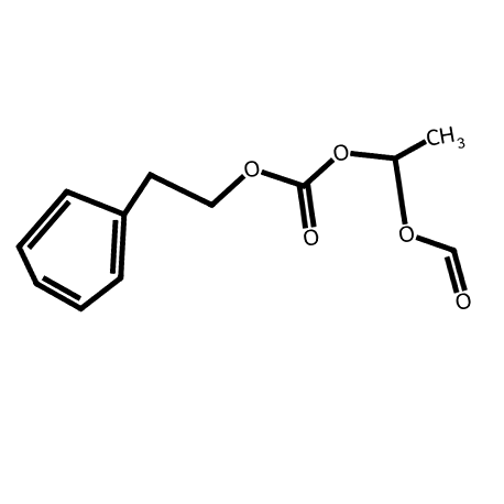 CC(OC=O)OC(=O)OCCc1ccccc1